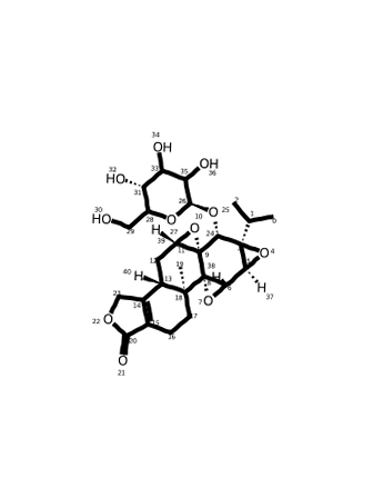 CC(C)[C@]12O[C@H]1[C@@H]1O[C@]13[C@]1(O[C@H]1C[C@H]1C4=C(CC[C@@]13C)C(=O)OC4)[C@@H]2O[C@H]1OC(CO)[C@H](O)C(O)C1O